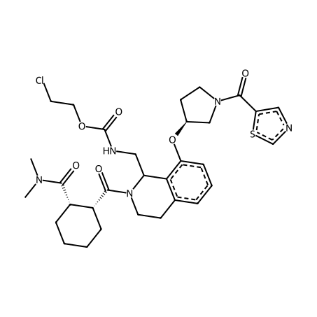 CN(C)C(=O)[C@H]1CCCC[C@H]1C(=O)N1CCc2cccc(O[C@H]3CCN(C(=O)c4cncs4)C3)c2C1CNC(=O)OCCCl